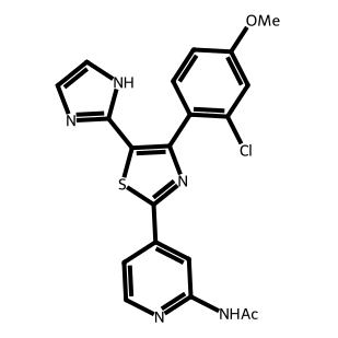 COc1ccc(-c2nc(-c3ccnc(NC(C)=O)c3)sc2-c2ncc[nH]2)c(Cl)c1